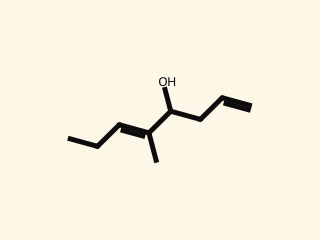 C=CCC(O)/C(C)=C/CC